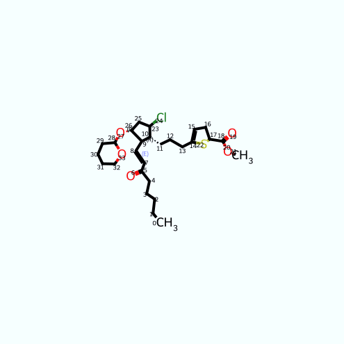 CCCCCC(=O)/C=C/C1[C@@H](CCCC2=CCC(C(=O)OC)S2)C(Cl)C[C@H]1OC1CCCCO1